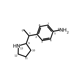 CC(c1ccc(N)cc1)C1CCCN1